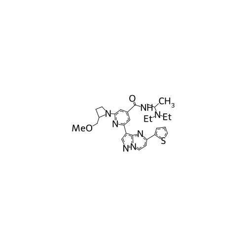 CCN(CC)C(C)CNC(=O)c1cc(-c2cnn3ccc(-c4cccs4)nc23)nc(N2CCC2COC)c1